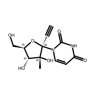 C#C[C@@]1(n2ccc(=O)[nH]c2=O)O[C@H](CO)[C@@H](O)[C@@]1(C)O